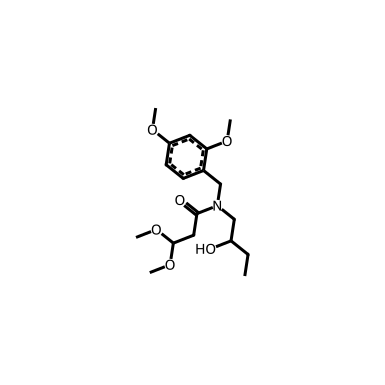 CCC(O)CN(Cc1ccc(OC)cc1OC)C(=O)CC(OC)OC